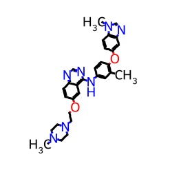 Cc1cc(Nc2ncnc3ccc(OCCN4CCN(C)CC4)cc23)ccc1Oc1ccc2c(c1)ncn2C